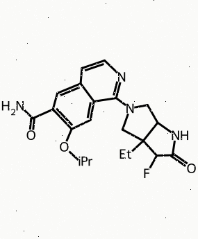 CCC12CN(c3nccc4cc(C(N)=O)c(OC(C)C)cc34)CC1NC(=O)C2F